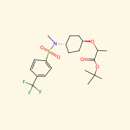 CC(O[C@H]1CC[C@H](N(C)S(=O)(=O)c2ccc(C(F)(F)F)cc2)CC1)C(=O)OC(C)(C)C